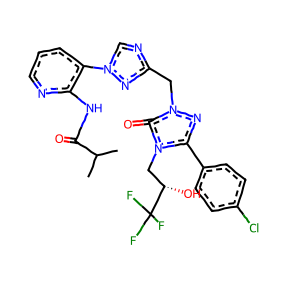 CC(C)C(=O)Nc1ncccc1-n1cnc(Cn2nc(-c3ccc(Cl)cc3)n(C[C@H](O)C(F)(F)F)c2=O)n1